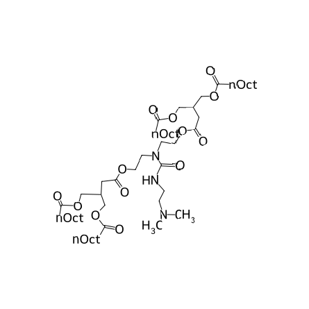 CCCCCCCCC(=O)OCC(COC(=O)CCCCCCCC)CC(=O)OCCN(CCOC(=O)CC(COC(=O)CCCCCCCC)COC(=O)CCCCCCCC)C(=O)NCCN(C)C